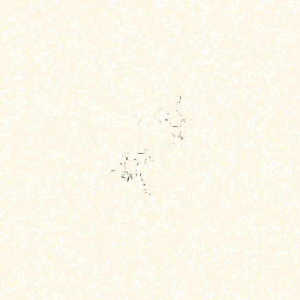 C=C1CC2C(=O)N(COCC[Si](C)(C)C)c3cc(OCCCOc4cc5c(cc4OC)C(=O)N4CC(=C)C[C@H]4C(=O)N5COCC[Si](C)(C)C)c(OC)cc3C(=O)N2C1